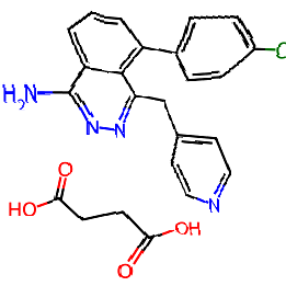 Nc1nnc(Cc2ccncc2)c2c(-c3ccc(Cl)cc3)cccc12.O=C(O)CCC(=O)O